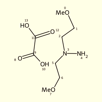 COCCN(N)CCOC.O=C(O)C(=O)O